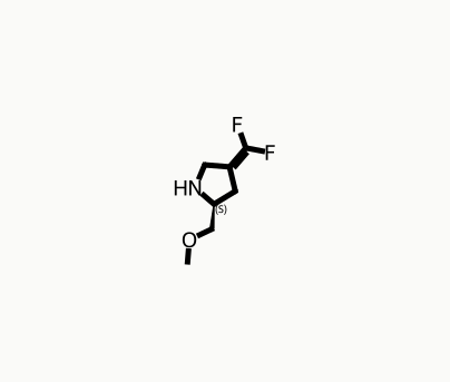 COC[C@@H]1CC(=C(F)F)CN1